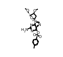 COC[C@H]1O[C@@H](n2cnc3c(OS(=O)(=O)c4ccc(C)cc4)nc(N)nc32)CC1OC